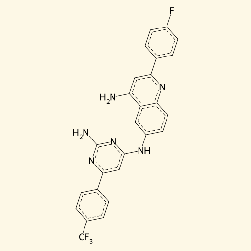 Nc1nc(Nc2ccc3nc(-c4ccc(F)cc4)cc(N)c3c2)cc(-c2ccc(C(F)(F)F)cc2)n1